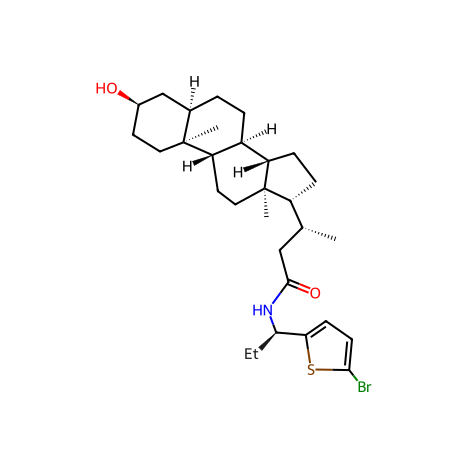 CC[C@@H](NC(=O)C[C@@H](C)[C@H]1CC[C@H]2[C@@H]3CC[C@@H]4C[C@H](O)CC[C@]4(C)[C@H]3CC[C@]12C)c1ccc(Br)s1